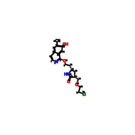 N#Cc1cc2ccnc(OCC[C@@H]3C[C@H](COCCCl)C(=O)N3)c2cc1O